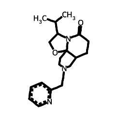 CC(C)C1COC23CCN(Cc4ccccn4)CC2CCC(=O)N13